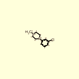 [CH2]N1CCN(c2cccc(Cl)c2)CC1